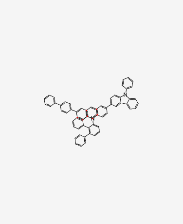 c1ccc(-c2ccc(-c3ccc(N(c4ccc(-c5ccc6c(c5)c5ccccc5n6-c5ccccc5)cc4)c4cccc(-c5ccccc5)c4-c4ccccc4-c4ccccc4)cc3)cc2)cc1